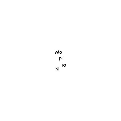 [B].[Mo].[Ni].[P]